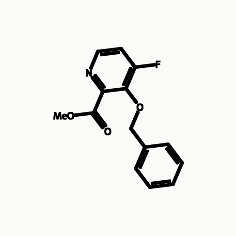 COC(=O)c1nccc(F)c1OCc1ccccc1